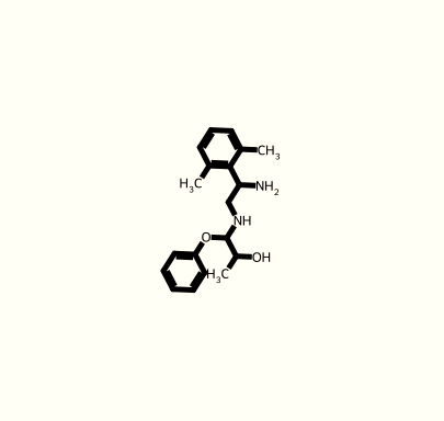 Cc1cccc(C)c1C(N)CNC(Oc1ccccc1)C(C)O